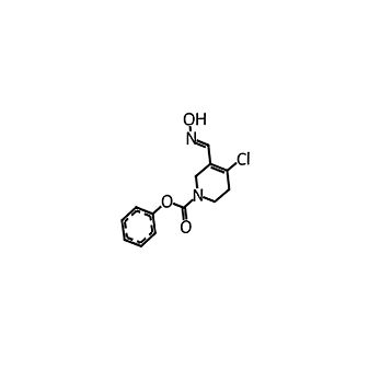 O=C(Oc1ccccc1)N1CCC(Cl)=C(C=NO)C1